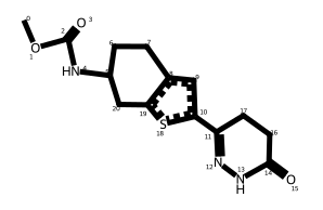 COC(=O)NC1CCc2cc(C3=NNC(=O)CC3)sc2C1